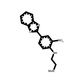 CNCCNc1ccc(-c2nc3ccccc3o2)cc1[N+](=O)[O-]